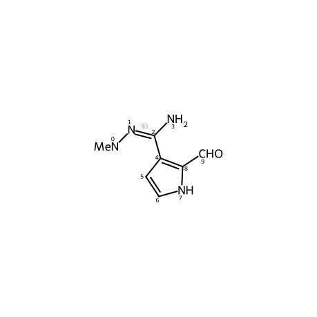 CN/N=C(/N)c1cc[nH]c1C=O